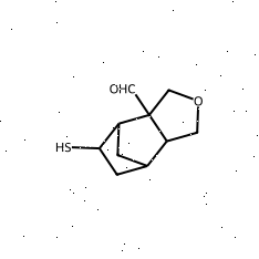 O=CC12COCC1C1CC(S)C2C1